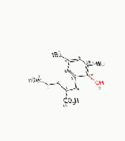 CCCCCCCCCCCCC(Cc1cc(C(C)(C)C)cc(C(C)(C)C)c1O)C(=O)O